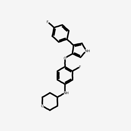 Fc1ccc(-c2c[nH]cc2Oc2ccc(NC3CCOCC3)cc2F)cc1